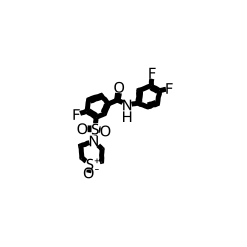 O=C(Nc1ccc(F)c(F)c1)c1ccc(F)c(S(=O)(=O)N2CC[S+]([O-])CC2)c1